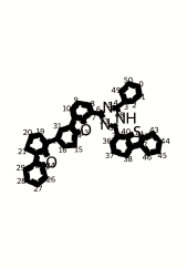 c1ccc(C2=NC(c3cccc4c3oc3ccc(-c5cccc6c5oc5ccccc56)cc34)=NC(c3cccc4c3sc3ccccc34)N2)cc1